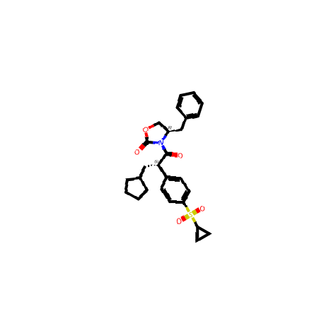 O=C1OC[C@@H](Cc2ccccc2)N1C(=O)[C@@H](CC1CCCC1)c1ccc(S(=O)(=O)C2CC2)cc1